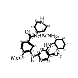 COc1ccc(C(=O)NC2CCNCC2)cc1Nc1ncc(C(F)(F)F)c(N[C@@H]2CCCC[C@H]2NC(C)=O)n1